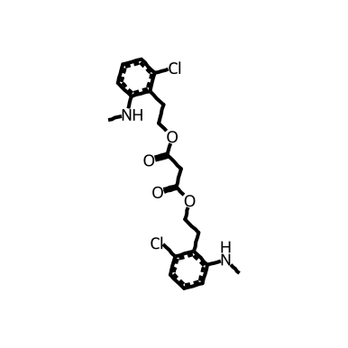 CNc1cccc(Cl)c1CCOC(=O)CC(=O)OCCc1c(Cl)cccc1NC